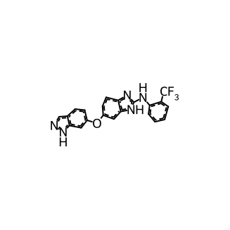 FC(F)(F)c1ccccc1Nc1nc2ccc(Oc3ccc4cn[nH]c4c3)cc2[nH]1